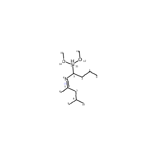 CCCC(/N=C(/C)CC(C)C)[SiH](OC)OC